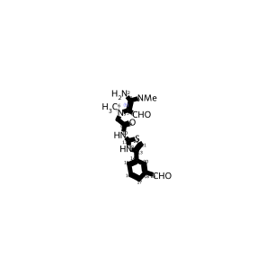 CN/C(N)=C(\C=O)N(C)CC(=O)NC1NC(c2cccc(C=O)c2)=CS1